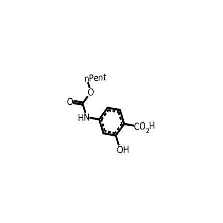 CCCCCOC(=O)Nc1ccc(C(=O)O)c(O)c1